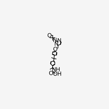 CC(NC(=O)O)c1ccc(C(C)(C)c2ccc(OCc3ccnc(N4CC5(COC5)C4)n3)cc2)cc1